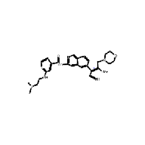 CN/C(CN1CCOCC1)=C(\C=N)c1ccc2cnc(NC(=O)c3ccnc(NCCN(C)C)c3)cc2c1